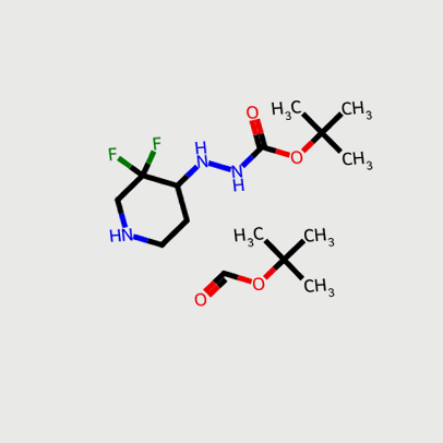 CC(C)(C)OC(=O)NNC1CCNCC1(F)F.CC(C)(C)OC=O